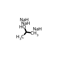 CC(C)O.[NaH].[NaH].[NaH]